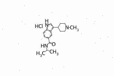 CC(C)NC(=O)c1ccc2[nH]cc(C3CCN(C)CC3)c2c1.Cl